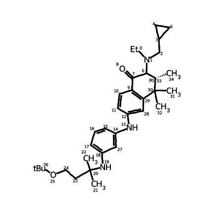 CCN(CC1CC1)C1C(=O)c2ccc(Nc3cccc(NC(C)(C)CCOC(C)(C)C)c3)cc2C(C)(C)[C@H]1C